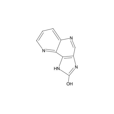 Oc1nc2cnc3cccnc3c2[nH]1